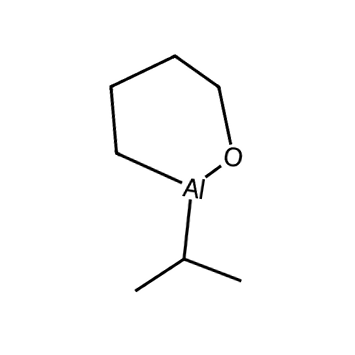 C[CH](C)[Al]1[CH2]CCC[O]1